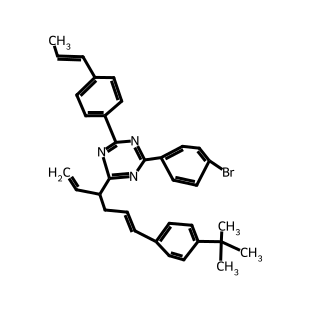 C=CC(C/C=C/c1ccc(C(C)(C)C)cc1)c1nc(-c2ccc(Br)cc2)nc(-c2ccc(/C=C/C)cc2)n1